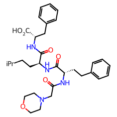 CC(C)CC[C@H](NC(=O)[C@H](CCc1ccccc1)NC(=O)CN1CCOCC1)C(=O)N[C@@H](Cc1ccccc1)C(=O)O